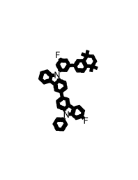 CC1(C)CCC(C)(C)c2cc(-c3cc(F)cc(-n4c5ccccc5c5cc(-c6ccc7c(c6)c6ccc(F)cc6n7-c6ccccc6)ccc54)c3)ccc21